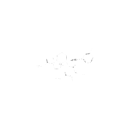 CC[C@H](C)[C@@H](C(=O)O[C@@]1(C#Cc2cccc(C)c2)CCC[C@@H]2[C@H]1CCN2C(=O)OC)N(C)C(=O)OC(C)(C)C